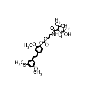 COc1cc(C=Cc2ccc(OC(=O)OCCNC(=O)C(NC(=O)O)C(C)C)c(OC)c2)cc(OC)c1